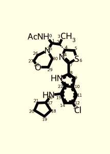 CC(=O)NC(C(C)[C@@H]1CSC(c2cc3cc(Cl)cc(NC4CCCC4)c3[nH]2)=N1)N1CCOCC1